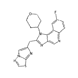 Fc1ccc2ncc3nc(Cc4cn5ncsc5n4)n(C4CCOCC4)c3c2c1